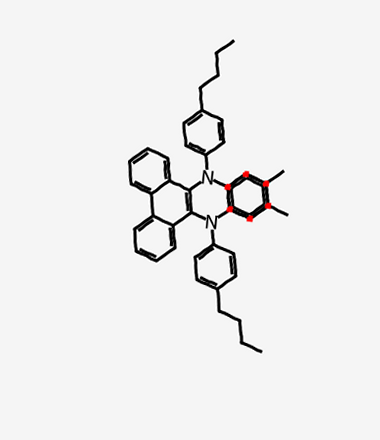 CCCCc1ccc(N(c2ccc(C)cc2)c2c(N(c3ccc(C)cc3)c3ccc(CCCC)cc3)c3ccccc3c3ccccc23)cc1